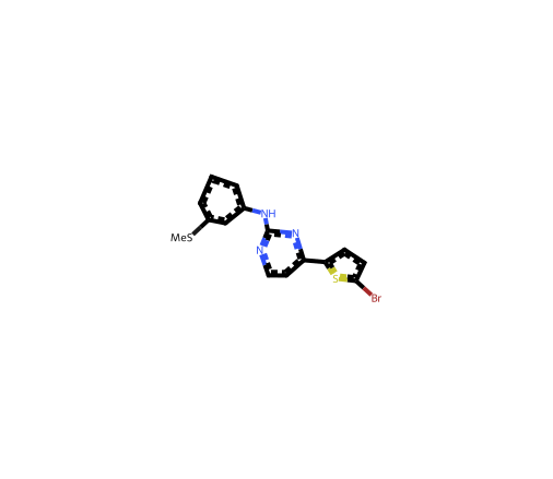 CSc1cccc(Nc2nccc(-c3ccc(Br)s3)n2)c1